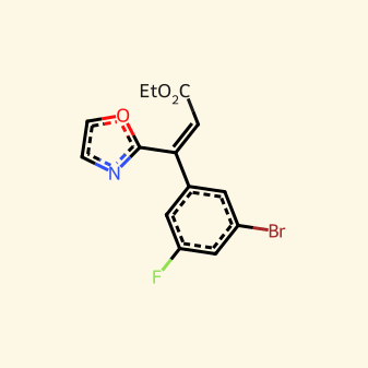 CCOC(=O)C=C(c1cc(F)cc(Br)c1)c1ncco1